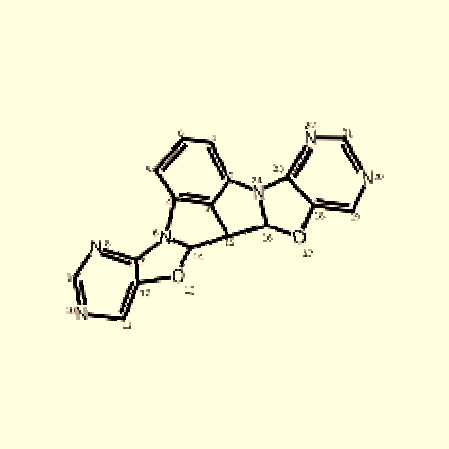 c1cc2c3c(c1)N1c4ncncc4OC1C3C1Oc3cncnc3N21